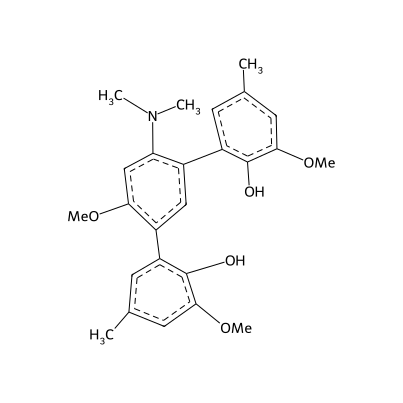 COc1cc(N(C)C)c(-c2cc(C)cc(OC)c2O)cc1-c1cc(C)cc(OC)c1O